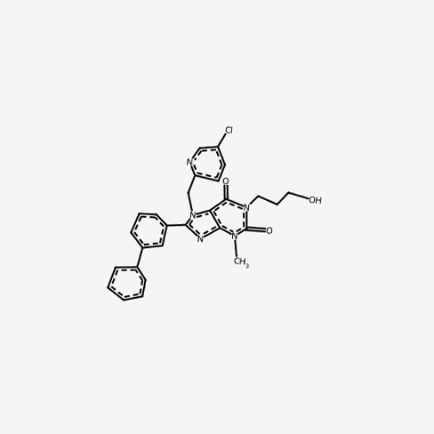 Cn1c(=O)n(CCCO)c(=O)c2c1nc(-c1cccc(-c3ccccc3)c1)n2Cc1ccc(Cl)cn1